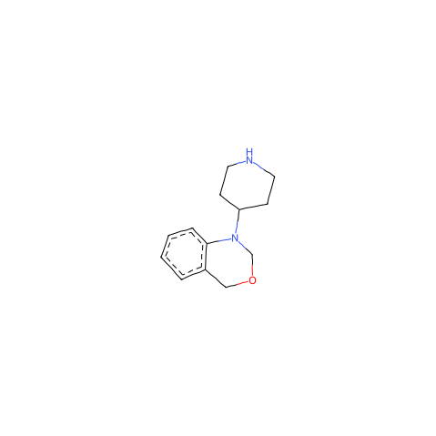 c1ccc2c(c1)COCN2C1CCNCC1